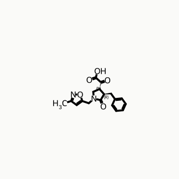 Cc1cc(CN2C[C@H](C(=O)C(=O)O)[C@@H](Cc3ccccc3)C2=O)on1